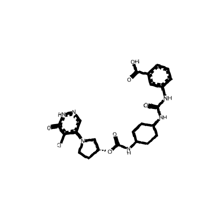 O=C(Nc1cccc(C(=O)O)c1)NC1CCC(NC(=O)O[C@@H]2CCN(c3cn[nH]c(=O)c3Cl)C2)CC1